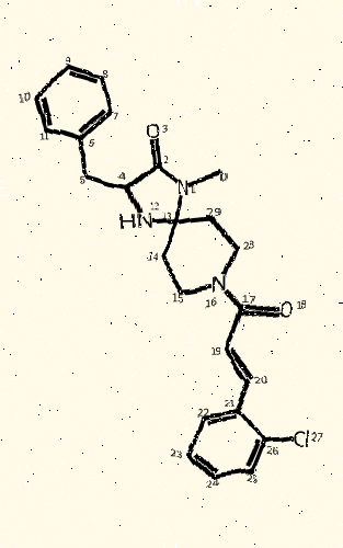 CN1C(=O)C(Cc2ccccc2)NC12CCN(C(=O)/C=C/c1ccccc1Cl)CC2